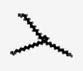 CCCCCCCCCCCCCC1N(CCCCCCCCCCC)C=CN1CCCCCCCCCCCCC